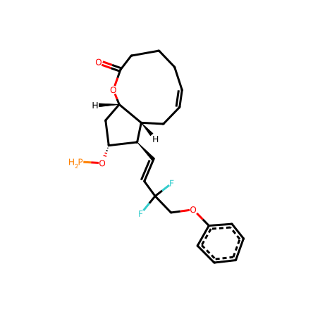 O=C1CCC/C=C\C[C@@H]2[C@@H](/C=C/C(F)(F)COc3ccccc3)[C@H](OP)C[C@@H]2O1